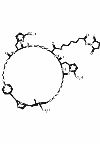 Cc1cc2c(S(=O)(=O)O)cc1-c1cnc(o1)-c1cc[n+](cc1)CCCCCC(=O)NC(Cc1ccc(S(=O)(=O)O)s1)C(=O)NCCCCC(C(=O)NCCCCCC(=O)ON1C(=O)CCC1=O)NC(=O)C(Cc1ccc(S(=O)(=O)O)s1)NC(=O)CCCCCO2